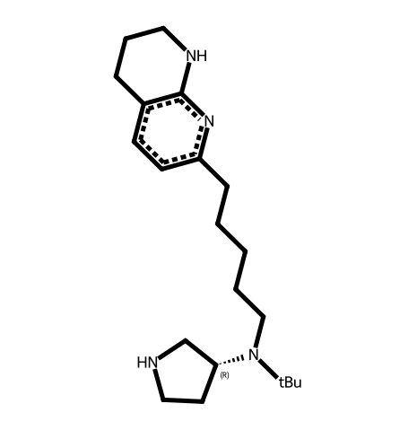 CC(C)(C)N(CCCCCc1ccc2c(n1)NCCC2)[C@@H]1CCNC1